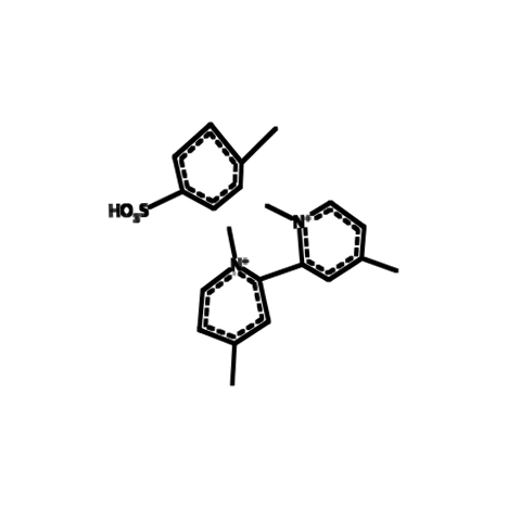 Cc1cc[n+](C)c(-c2cc(C)cc[n+]2C)c1.Cc1ccc(S(=O)(=O)O)cc1